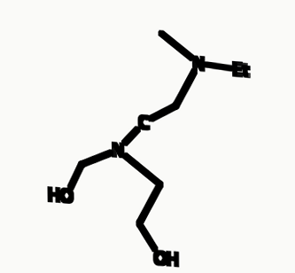 CCN(C)CCN(CO)CCO